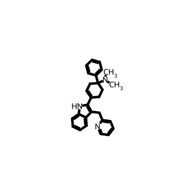 CN(C)C1(c2ccccc2)CC=C(c2[nH]c3ccccc3c2Cc2ccccn2)CC1